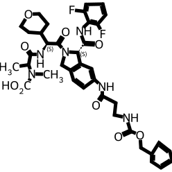 CC(C(=O)N[C@H](C(=O)N1Cc2ccc(NC(=O)CCNC(=O)OCc3ccccc3)cc2[C@H]1C(=O)Nc1c(F)cccc1F)C1CCOCC1)N(C)C(=O)O